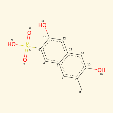 Cc1cc2cc(S(=O)(=O)O)c(O)cc2cc1O